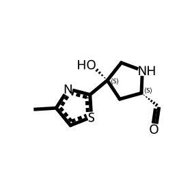 Cc1csc([C@@]2(O)CN[C@H](C=O)C2)n1